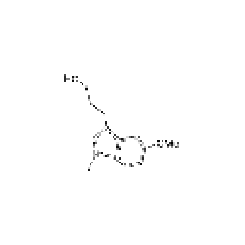 COc1ccc2c(c1)c(CCCO)cn2C